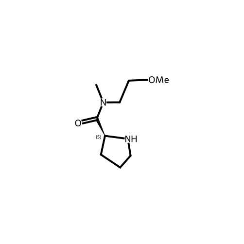 COCCN(C)C(=O)[C@@H]1CCCN1